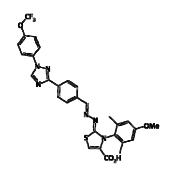 COc1cc(C)c(-n2c(C(=O)O)cs/c2=N\N=Cc2ccc(-c3ncn(-c4ccc(OC(F)(F)F)cc4)n3)cc2)c(C)c1